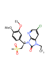 CCOc1cc([C@H](CS(C)(=O)=O)n2c(=O)n(CC(F)(F)F)c3cc(Cl)cnc32)ccc1OC